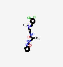 CC(CNc1nc2ccccc2o1)C(=O)NCCCN(C)Cc1ccc(Cl)c(Cl)c1